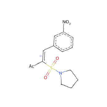 CC(=O)/C(=C/c1cccc([N+](=O)[O-])c1)S(=O)(=O)N1CCCC1